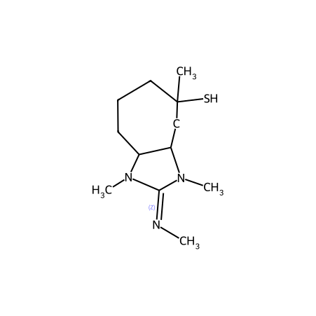 C/N=C1/N(C)C2CCCC(C)(S)CC2N1C